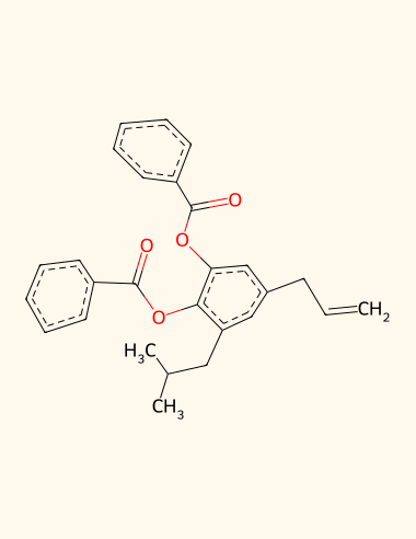 C=CCc1cc(CC(C)C)c(OC(=O)c2ccccc2)c(OC(=O)c2ccccc2)c1